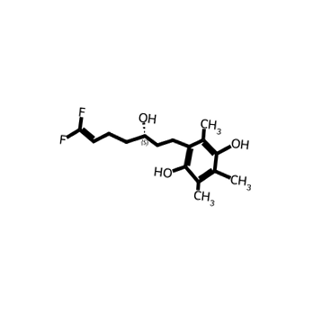 Cc1c(C)c(O)c(CC[C@@H](O)CCC=C(F)F)c(C)c1O